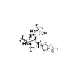 CC(=O)Oc1cccc(CNc2nc(N[C@@H](CO)C(C)C)nc3c2N(C(C)C)NN3C(C)C)c1